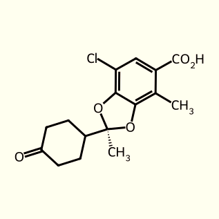 Cc1c(C(=O)O)cc(Cl)c2c1O[C@@](C)(C1CCC(=O)CC1)O2